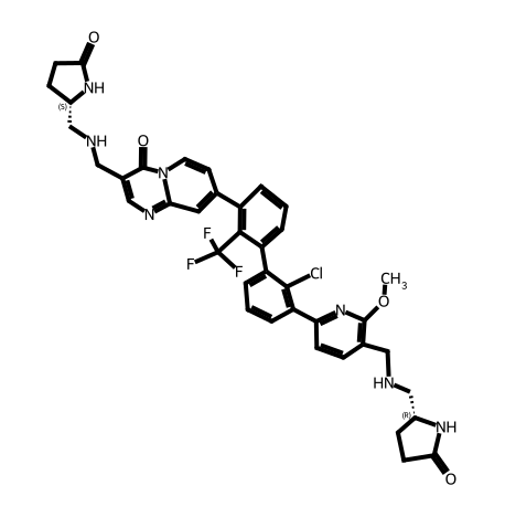 COc1nc(-c2cccc(-c3cccc(-c4ccn5c(=O)c(CNC[C@@H]6CCC(=O)N6)cnc5c4)c3C(F)(F)F)c2Cl)ccc1CNC[C@H]1CCC(=O)N1